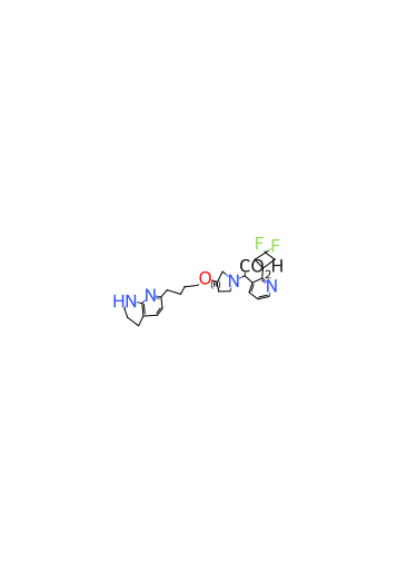 O=C(O)C(c1cccnc1C1CC(F)(F)C1)N1CC[C@@H](OCCCCc2ccc3c(n2)NCCC3)C1